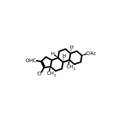 CC(=O)O[C@H]1CC[C@@]2(C)[C@@H](CC[C@H]3C4CC(C=O)=C(Cl)[C@@]4(C)CC[C@@H]32)C1